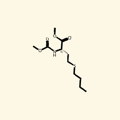 CCCCSCC[C@H](NC(=O)OC)C(=O)OC